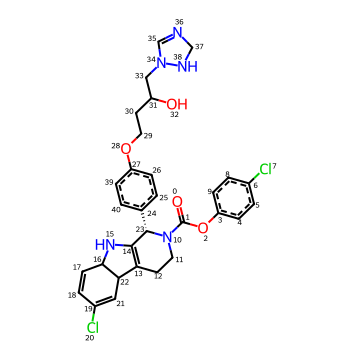 O=C(Oc1ccc(Cl)cc1)N1CCC2=C(NC3C=CC(Cl)=CC23)[C@@H]1c1ccc(OCCC(O)CN2C=NCN2)cc1